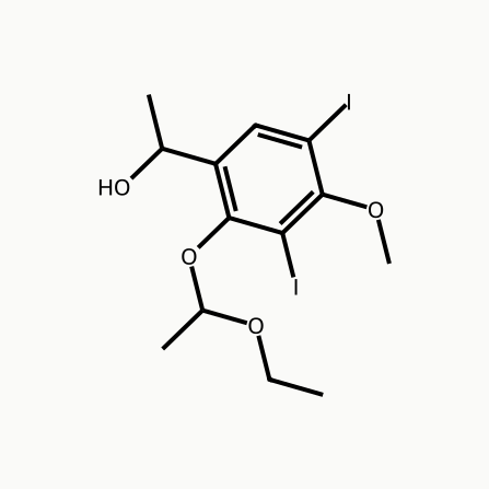 CCOC(C)Oc1c(C(C)O)cc(I)c(OC)c1I